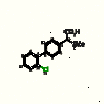 CSC(C(=O)O)c1ccc(-c2ccccc2Cl)cc1